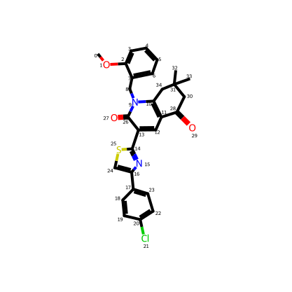 COc1ccccc1Cn1c2c(cc(-c3nc(-c4ccc(Cl)cc4)cs3)c1=O)C(=O)CC(C)(C)C2